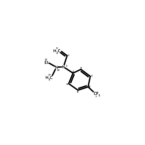 C=CN(c1ccc(C(F)(F)F)cc1)N(C)CC